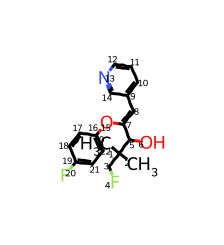 CC(C)(CF)C(O)C(=Cc1cccnc1)Oc1ccc(F)cc1